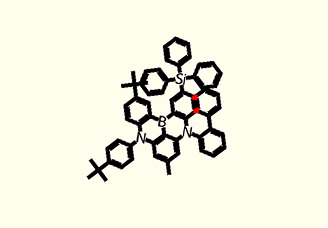 Cc1cc2c3c(c1)N(c1ccccc1-c1ccccc1)c1ccc([Si](c4ccccc4)(c4ccccc4)c4ccccc4)cc1B3c1cc(C(C)(C)C)ccc1N2c1ccc(C(C)(C)C)cc1